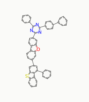 c1ccc(-c2ccc(-c3nc(-c4ccccc4)nc(-c4ccc5c(c4)oc4cc(-c6cc(-c7ccccc7)c7c(c6)sc6ccccc67)ccc45)n3)cc2)cc1